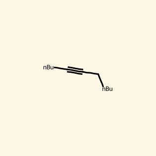 [CH2]CCCC#CCCCCC